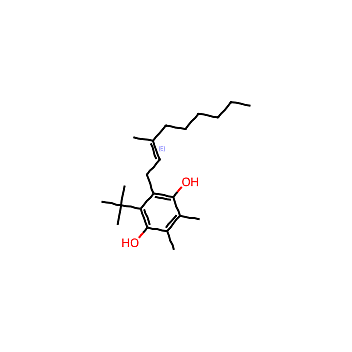 CCCCCC/C(C)=C/Cc1c(O)c(C)c(C)c(O)c1C(C)(C)C